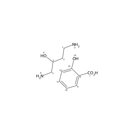 NCCC(O)CN.O=C(O)c1ccccc1O